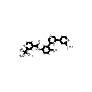 CNc1cc(-c2cncc(-c3cc(NC(=O)c4ccnc(C(C)(C)C#N)c4)ccc3C)n2)ccn1